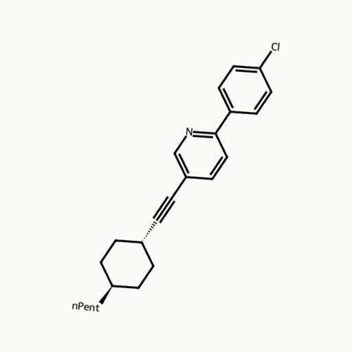 CCCCC[C@H]1CC[C@H](C#Cc2ccc(-c3ccc(Cl)cc3)nc2)CC1